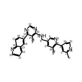 Cc1cc(-c2ncc(CNc3ncnc(-c4ccc5ncccc5c4)c3F)cc2F)ccn1